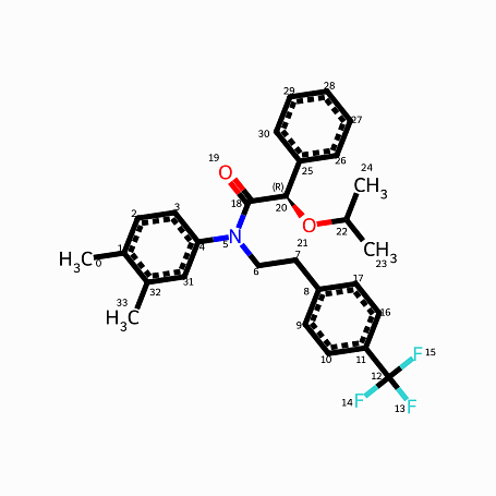 Cc1ccc(N(CCc2ccc(C(F)(F)F)cc2)C(=O)[C@H](OC(C)C)c2ccccc2)cc1C